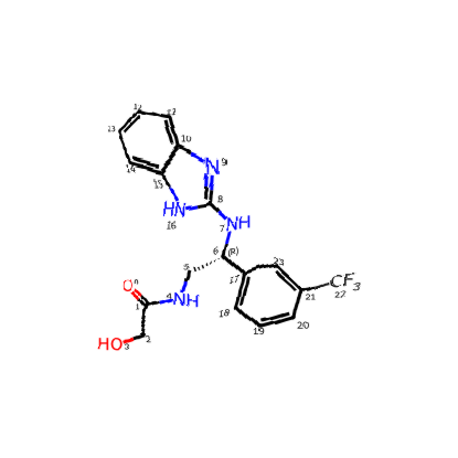 O=C(CO)NC[C@H](Nc1nc2ccccc2[nH]1)c1cccc(C(F)(F)F)c1